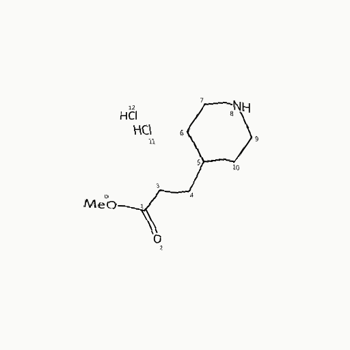 COC(=O)CCC1CCNCC1.Cl.Cl